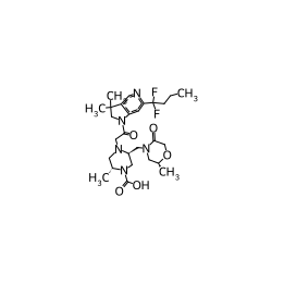 CCCC(F)(F)c1cc2c(cn1)C(C)(C)CN2C(=O)CN1C[C@@H](C)N(C(=O)O)C[C@@H]1CN1C[C@H](C)OCC1=O